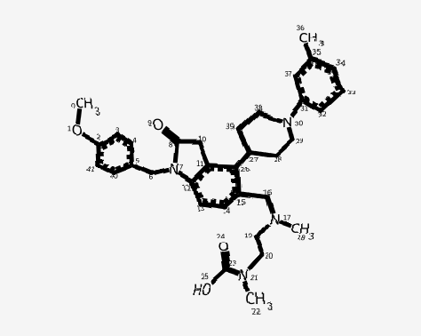 COc1ccc(CN2C(=O)Cc3c2ccc(CN(C)CCN(C)C(=O)O)c3C2CCN(c3cccc(C)c3)CC2)cc1